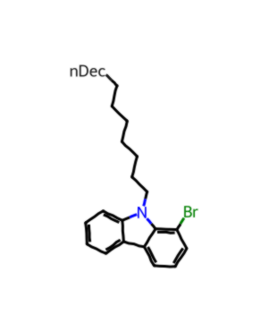 CCCCCCCCCCCCCCCCCn1c2ccccc2c2cccc(Br)c21